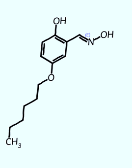 CCCCCCOc1ccc(O)c(/C=N/O)c1